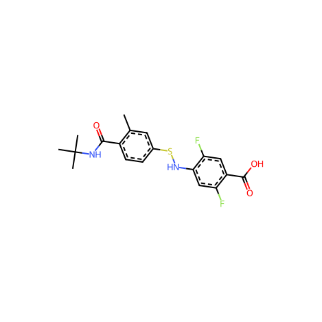 Cc1cc(SNc2cc(F)c(C(=O)O)cc2F)ccc1C(=O)NC(C)(C)C